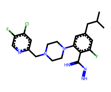 CC(C)Cc1cc(F)c(C(=N)N=N)c(N2CCN(Cc3cc(Cl)c(F)cn3)CC2)c1